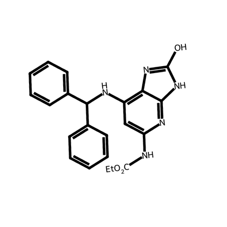 CCOC(=O)Nc1cc(NC(c2ccccc2)c2ccccc2)c2nc(O)[nH]c2n1